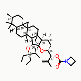 C=C(C)[C@@H](OC(=O)N1CCC1)[C@H]1C[C@@H](C)[C@H]2[C@H](O1)[C@H](O[Si](CC)(CC)CC)[C@@]1(C)[C@@H]3CC[C@H]4C(C)(C)[C@@H](C)CC[C@@]45C[C@@]35CC[C@]21C